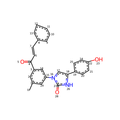 Cc1cc(C(=O)/C=C/c2ccccc2)cc(-n2cc(-c3ccc(O)cc3)[nH]c2=O)c1